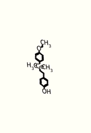 CCOc1cc[c]([Ge]([CH3])([CH3])[CH2]Cc2ccc(O)cc2)cc1